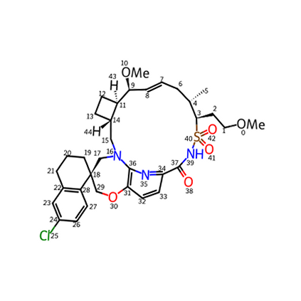 COCC[C@@H]1[C@@H](C)C/C=C/[C@H](OC)[C@@H]2CC[C@H]2CN2C[C@@]3(CCCc4cc(Cl)ccc43)COc3ccc(nc32)C(=O)NS1(=O)=O